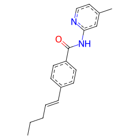 CCC/C=C/c1ccc(C(=O)Nc2cc(C)ccn2)cc1